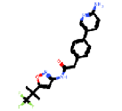 CC(C)(c1cc(NC(=O)Cc2ccc(-c3ccc(N)nc3)cc2)no1)C(F)(F)F